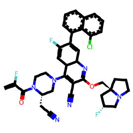 C=C(F)C(=O)N1CCN(C2=C(C#N)C(OC[C@@]34CCCN3C[C@H](F)C4)=NC3C=C(c4cccc5cccc(Cl)c45)C(F)=CC23)C[C@@H]1CC#N